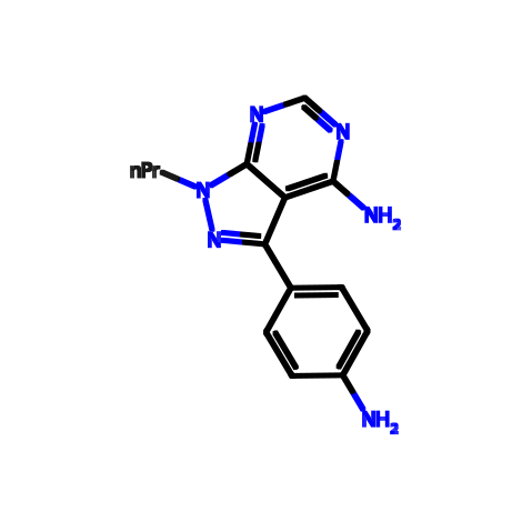 CCCn1nc(-c2ccc(N)cc2)c2c(N)ncnc21